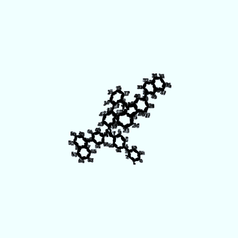 c1ccc(-c2ccc(N(c3ccc(-c4ccccc4-n4c5ccccc5c5ccc(-c6ccc7ccccc7c6)cc54)cc3)c3ccc(-c4cccc5ccccc45)cc3)cc2)cc1